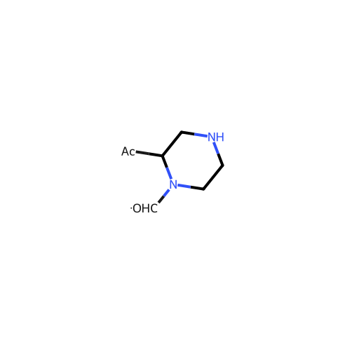 CC(=O)C1CNCCN1[C]=O